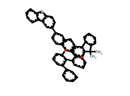 CC1(C)c2ccccc2-c2cc(N(c3ccc(-c4ccc5sc6ccccc6c5c4)cc3)c3cccc(-c4ccccc4)c3-c3ccccc3-c3ccccc3)ccc21